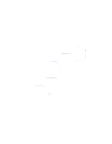 CN(C)C1CCN(CC2CCCC2)CC1